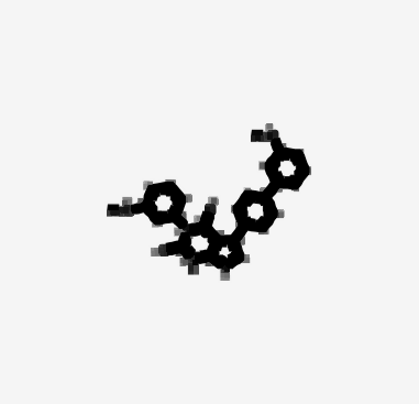 COc1cccc(-c2ccc(-c3csc4[nH]c(=O)n(-c5cccc(OC)c5)c(=O)c34)cc2)c1